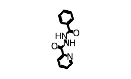 O=C(NNC(=O)c1ccccn1)c1ccccc1